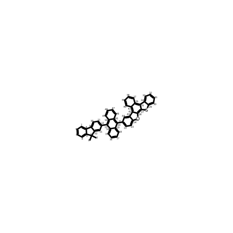 CC1(C)c2ccccc2-c2ccc(-c3c4ccccc4c(-c4ccc5oc6c7sc8ccccc8c7c7ccccc7c6c5c4)c4ccccc34)cc21